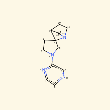 c1cnc(N2CCC3(C2)C2CCN3CC2)cn1